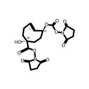 O=C(O[C@@H]1/C=C/CC[C@](O)(C(=O)ON2C(=O)CCC2=O)CC1)ON1C(=O)CCC1=O